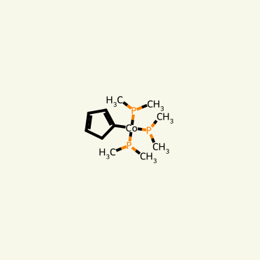 C[P](C)[Co]([C]1=CC=CC1)([P](C)C)[P](C)C